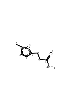 Cc1ccc(CCC(N)=O)o1